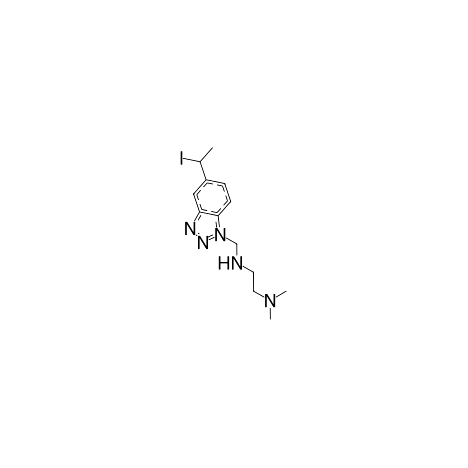 CC(I)c1ccc2c(c1)nnn2CNCCN(C)C